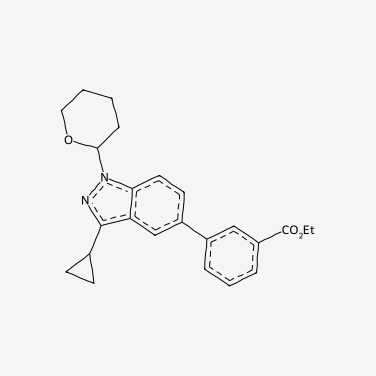 CCOC(=O)c1cccc(-c2ccc3c(c2)c(C2CC2)nn3C2CCCCO2)c1